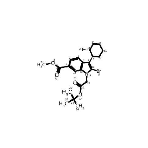 COC(=O)c1ccc2c([C@@H]3CCCC[C@H]3F)c(Br)n(CC(=O)OC(C)(C)C)c2c1